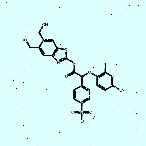 CCS(=O)(=O)c1ccc(C(Oc2ccc(C#N)cc2C)C(=O)Nc2nc3cc(CO)c(CO)cc3s2)cc1